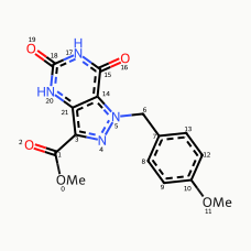 COC(=O)c1nn(Cc2ccc(OC)cc2)c2c(=O)[nH]c(=O)[nH]c12